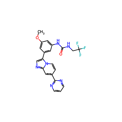 COc1cc(NC(=O)NCC(F)(F)F)cc(-c2cnc3cc(-c4ncccn4)ccn23)c1